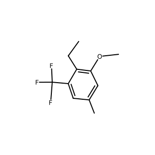 CCc1c(OC)cc(C)cc1C(F)(F)F